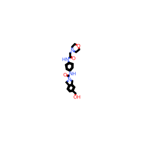 O=C(CN1CCOCC1)Nc1ccc(NC(=O)N2Cc3ccc(CO)cc3C2)cc1